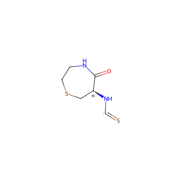 O=C1NCCSC[C@@H]1N[C]=S